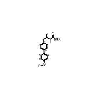 CCCCC(=O)NC(C)Cc1ccc(-c2ccc(OCC)cc2)cc1